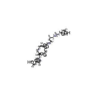 CC(=C/C=C/C(C)=C/C[C@@H](O)C[C@H](C)O)C=C(C)/C=C/C(=O)O[C@H]1CCCC(=O)O[C@@H]([C@@H](C)C/C(C)=C/[C@@H](C)[C@H](O)C[C@@H](C)O)C/C=C/C[C@@H]1C